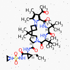 C=C[C@@H]1C[C@]1(NC(=O)[C@@H]1C[C@@]2(CN1C(=O)[C@@H](NC(=O)[C@@H](NC(=O)c1[nH]c(C)c(C)c1C(C)=O)C(C)(C)C)C(C)(C)C)C(C)(C)C21CCC1)C(=O)NS(=O)(=O)N1CC1